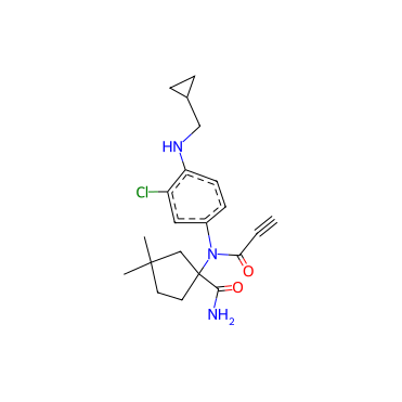 C#CC(=O)N(c1ccc(NCC2CC2)c(Cl)c1)C1(C(N)=O)CCC(C)(C)C1